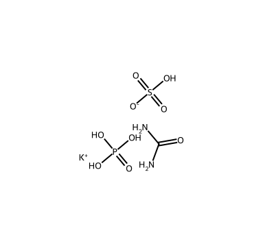 NC(N)=O.O=P(O)(O)O.O=S(=O)([O-])O.[K+]